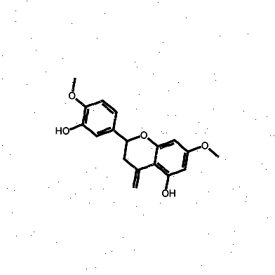 C=C1CC(c2ccc(OC)c(O)c2)Oc2cc(OC)cc(O)c21